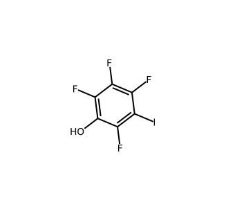 Oc1c(F)c(F)c(F)c(I)c1F